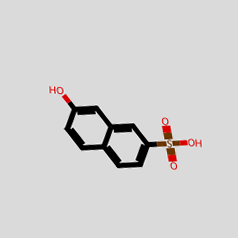 O=S(=O)(O)c1ccc2c[c]c(O)cc2c1